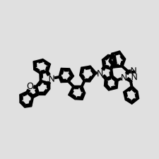 c1ccc(-c2nnc(-c3ccccc3)n2-c2cccc3c2c2ccccc2n3-c2cccc(-c3ccccc3-c3cccc(-n4c5ccccc5c5c6oc7ccccc7c6ccc54)c3)c2)cc1